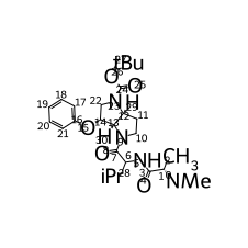 CN[C@@H](C)C(=O)NC(C(=O)N1CC[C@@H]2[C@H]1[C@@H](Oc1ccccc1)CN2C(=O)OC(C)(C)C)C(C)C